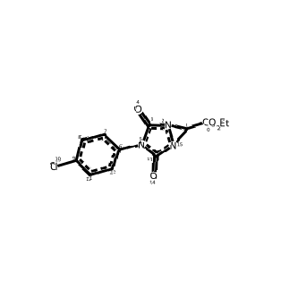 CCOC(=O)C1n2c(=O)n(-c3ccc(Cl)cc3)c(=O)n21